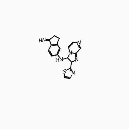 N=C1CCc2cc(NC3C(c4nccs4)N=C4C=NC=CN43)ccc21